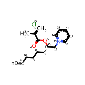 C=C(C)C(=O)O[C@@H](CCCCCCCCCCCCCC)C[n+]1ccccc1.[Cl-]